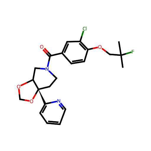 CC(C)(F)COc1ccc(C(=O)N2CC[C@]3(c4ccccn4)OCOC3C2)cc1Cl